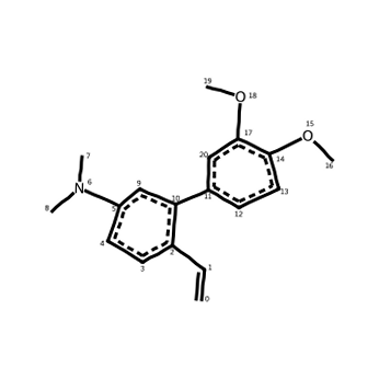 C=Cc1ccc(N(C)C)cc1-c1ccc(OC)c(OC)c1